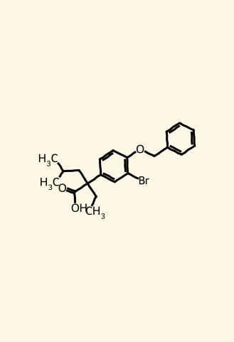 CCC(CC(C)C)(C(=O)O)c1ccc(OCc2ccccc2)c(Br)c1